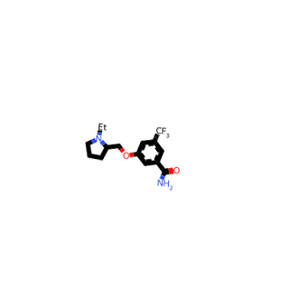 CCN1CCCC1COc1cc(C(N)=O)cc(C(F)(F)F)c1